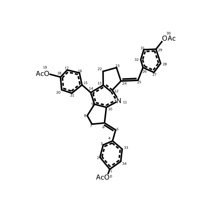 CC(=O)Oc1ccc(C=C2CCc3c2nc2c(c3-c3ccc(OC(C)=O)cc3)CCC2=Cc2ccc(OC(C)=O)cc2)cc1